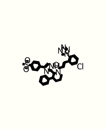 CS(=O)(=O)c1ccc(-c2c[nH]c(C3C(c4ccccc4)CCCN3C(=O)C=Cc3cc(Cl)ccc3-n3cnnn3)n2)cc1